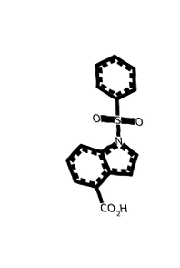 O=C(O)c1cccc2c1ccn2S(=O)(=O)c1ccccc1